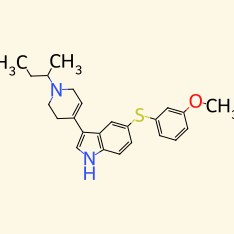 CCC(C)N1CC=C(c2c[nH]c3ccc(Sc4cccc(OC)c4)cc23)CC1